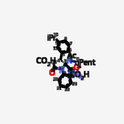 CCCCCN(C(C)=O)[C@@](Cc1cccc(C(C)C)c1)(C(N)=O)N(C(=O)C(=O)O)c1ccccc1C(=O)O